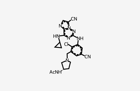 CC(=O)N[C@H]1CCN(Cc2cc(C#N)cc(Nc3nc(NC4CC4)c4ncc(C#N)n4n3)c2Cl)C1